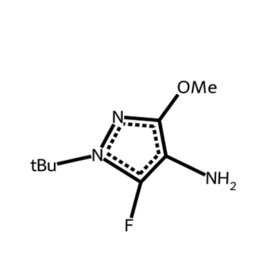 COc1nn(C(C)(C)C)c(F)c1N